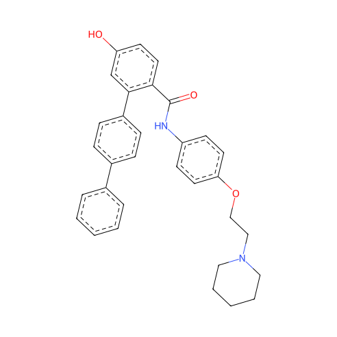 O=C(Nc1ccc(OCCN2CCCCC2)cc1)c1ccc(O)cc1-c1ccc(-c2ccccc2)cc1